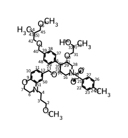 COCCCN1CCOc2ccc(CO[C@H]3CN(S(=O)(=O)c4ccc(C)cc4)C[C@@H](OC[C@@H](C)O)[C@@H]3c3ccc(COC[C@@H](C)COC)cc3)cc21